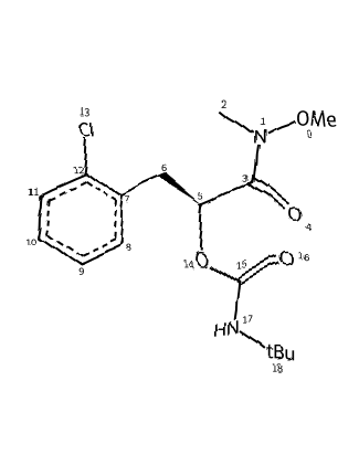 CON(C)C(=O)[C@H](Cc1ccccc1Cl)OC(=O)NC(C)(C)C